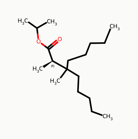 CCCCCC(C)(CCCCC)[C@@H](C)C(=O)OC(C)C